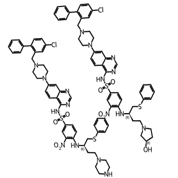 O=[N+]([O-])c1cc(S(=O)(=O)Nc2ncnc3cc(N4CCN(Cc5cc(Cl)ccc5-c5ccccc5)CC4)ccc23)ccc1N[C@H](CCN1CCNCC1)CSc1ccccc1.O=[N+]([O-])c1cc(S(=O)(=O)Nc2ncnc3cc(N4CCN(Cc5cc(Cl)ccc5-c5ccccc5)CC4)ccc23)ccc1N[C@H](CCN1CC[C@@H](O)C1)CSc1ccccc1